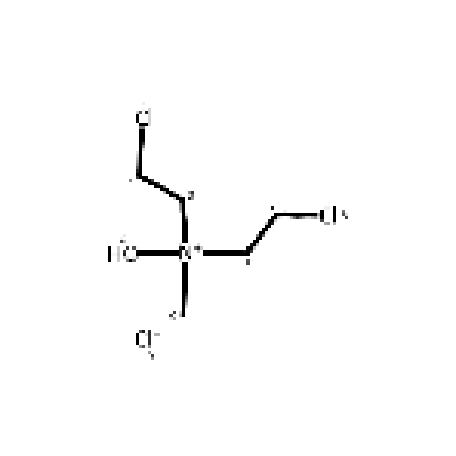 C[N+](O)(CCCl)CCCl.[Cl-]